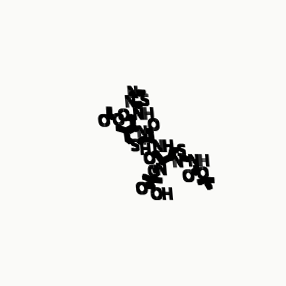 CC(=O)OCC1=C(C(=O)Nc2nncs2)N2C(=O)[C@@H](NC(=O)/C(=N\OC(C)(C)C(=O)O)c3csc(NC(=O)OC(C)(C)C)n3)[C@H]2SC1